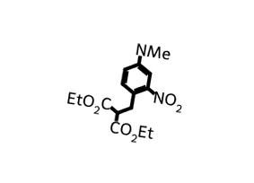 CCOC(=O)C(Cc1ccc(NC)cc1[N+](=O)[O-])C(=O)OCC